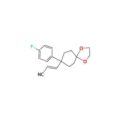 N#C/C=C/C1(c2ccc(F)cc2)CCC2(CC1)OCCO2